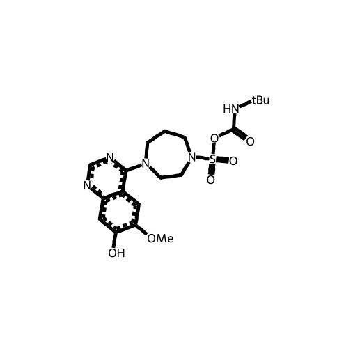 COc1cc2c(N3CCCN(S(=O)(=O)OC(=O)NC(C)(C)C)CC3)ncnc2cc1O